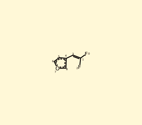 FC(F)=Cc1[c]coc1